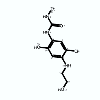 CCNC(=O)Nc1cc(Cl)c(NCCO)cc1O